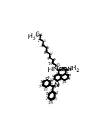 CCCCCCCCCCCCNC(=O)c1ccc(N=C(c2ccccc2)c2ccccc2)c2cccc(C(N)=O)c12